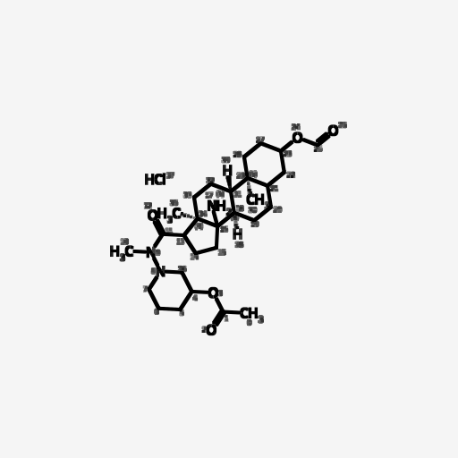 CC(=O)OC1CCCN(N(C)C(=O)C2CCC3(N)[C@@H]4CCC5CC(OC=O)CC[C@]5(C)[C@H]4CC[C@]23C)C1.Cl